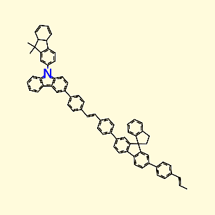 C/C=C/c1ccc(-c2ccc3c(c2)C2(CCc4ccccc42)c2cc(-c4ccc(/C=C/c5ccc(-c6ccc7c(c6)c6ccccc6n7-c6ccc7c(c6)C(C)(C)C6C=CC=CC76)cc5)cc4)ccc2-3)cc1